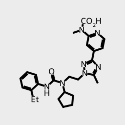 CCc1ccccc1NC(=O)N(CCn1nc(-c2ccnc(N(C)C(=O)O)c2)nc1C)C1CCCC1